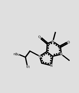 CCCCC(CC)Cn1cnc2c1c(=O)n(C)c(=O)n2C